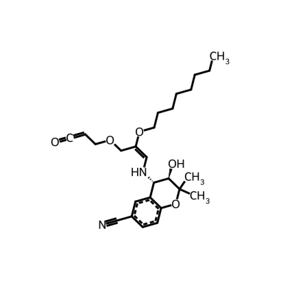 CCCCCCCCO/C(=C/N[C@H]1c2cc(C#N)ccc2OC(C)(C)[C@@H]1O)COCC=C=O